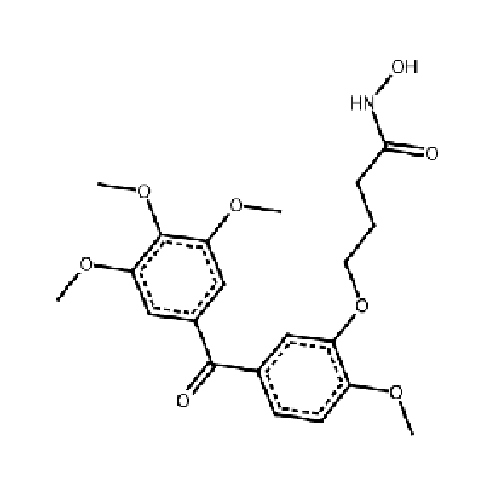 COc1ccc(C(=O)c2cc(OC)c(OC)c(OC)c2)cc1OCCCC(=O)NO